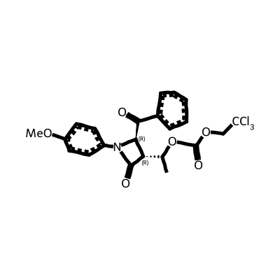 COc1ccc(N2C(=O)[C@@H](C(C)OC(=O)OCC(Cl)(Cl)Cl)[C@@H]2C(=O)c2ccccc2)cc1